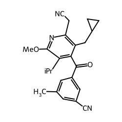 COc1nc(CC#N)c(CC2CC2)c(C(=O)c2cc(C)cc(C#N)c2)c1C(C)C